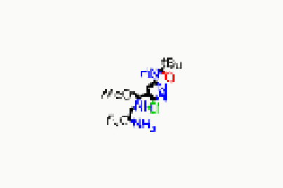 COCC(NC[C@H](N)C(F)(F)F)c1cc(NC(=O)C(C)(C)C)nnc1Cl